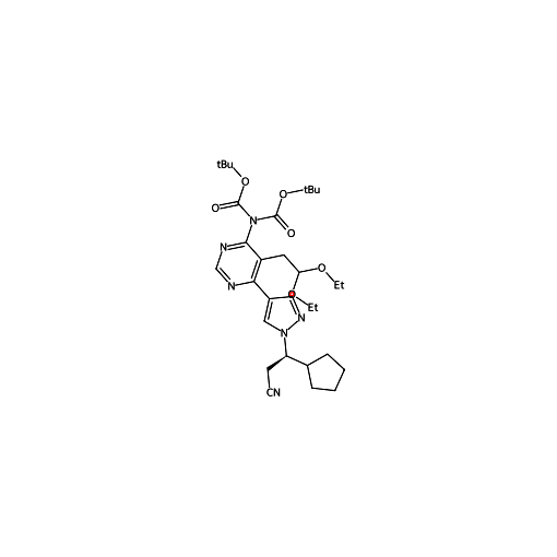 CCOC(Cc1c(-c2cnn([C@H](CC#N)C3CCCC3)c2)ncnc1N(C(=O)OC(C)(C)C)C(=O)OC(C)(C)C)OCC